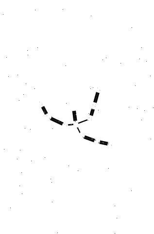 [N-]=[N+]=NP(=O)(N=[N+]=[N-])N=[N+]=[N-]